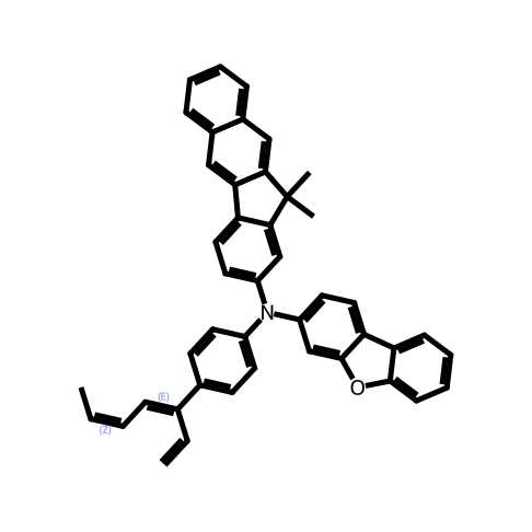 C=C/C(=C\C=C/C)c1ccc(N(c2ccc3c(c2)C(C)(C)c2cc4ccccc4cc2-3)c2ccc3c(c2)oc2ccccc23)cc1